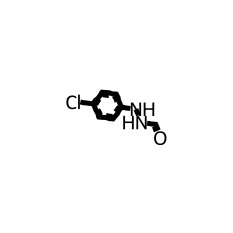 O=CNNc1ccc(Cl)cc1